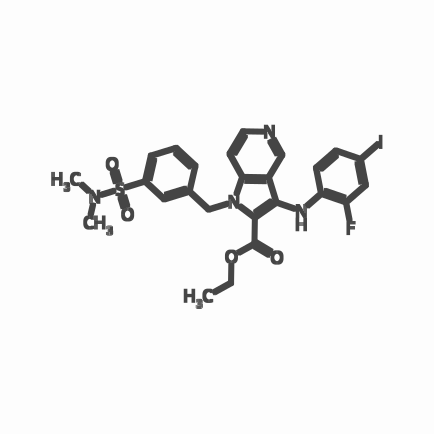 CCOC(=O)c1c(Nc2ccc(I)cc2F)c2cnccc2n1Cc1cccc(S(=O)(=O)N(C)C)c1